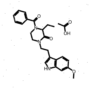 CC(=O)O.CCC1C(=O)N(CCc2c[nH]c3cc(OC)ccc23)CCN1C(=O)c1ccccc1